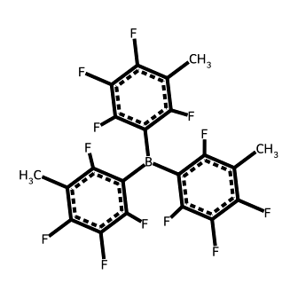 Cc1c(F)c(F)c(F)c(B(c2c(F)c(C)c(F)c(F)c2F)c2c(F)c(C)c(F)c(F)c2F)c1F